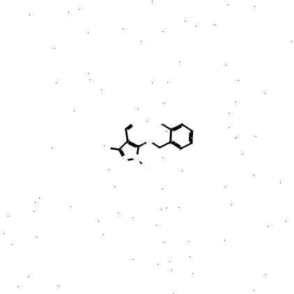 Cc1nn(C)c(SCc2ccccc2Cl)c1C=O